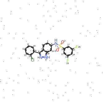 O=S(=O)(Nc1ccc2c(-c3ccccc3Cl)n[nH]c2c1)c1cc(F)cc(F)c1